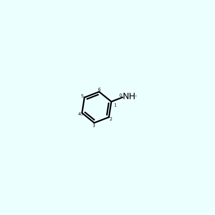 [NH]c1cc[c]cc1